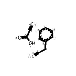 C#CC(=O)O.C#CCc1ccccc1